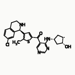 Cc1sc(C(=O)c2cncnc2N[C@@H]2C[CH][C@H](O)C2)cc1[C@@H]1NCCc2ccc(Cl)cc21